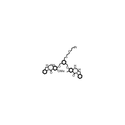 COc1cc2c(cc1OCc1cc(COc3cc4c(cc3C)C(=O)N3c5ccccc5C[C@H]3CN4)cc(CSCCOCCC(C)C)c1)NC[C@@H]1Cc3ccccc3N1C2=O